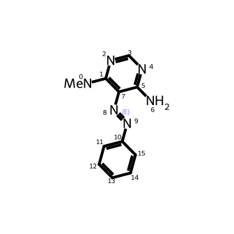 CNc1ncnc(N)c1/N=N/c1ccccc1